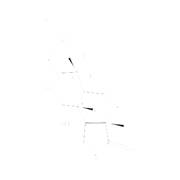 C[C@]12CCC(F)CC1=C[C@@H](O)[C@@H]1[C@@H]2CC[C@]2(C)C(=O)CC[C@@H]12